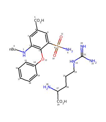 CCCCNc1cc(C(=O)O)cc(S(N)(=O)=O)c1Oc1ccccc1.N=C(N)NCCCC(N)C(=O)O